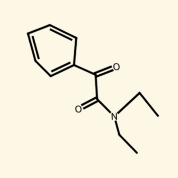 CCN(CC)C(=O)C(=O)c1ccccc1